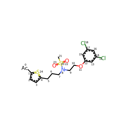 CC(=O)c1ccc(CCCN(CCOc2cc(Cl)cc(Cl)c2)S(C)(=O)=O)s1